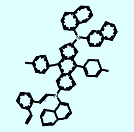 C=Cc1ccccc1/C=C/N(C1=CC=CC2C=CC=CC12)c1ccc2c(C3=CC=C(C)CC3)c3cc(N(c4ccc5ccccc5c4)c4cccc5ccccc45)ccc3c(-c3ccc(C)cc3)c2c1